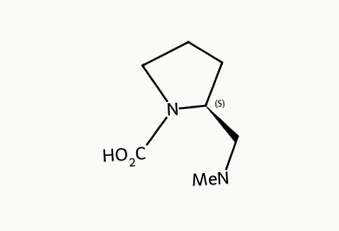 CNC[C@@H]1CCCN1C(=O)O